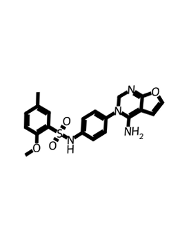 COc1ccc(C)cc1S(=O)(=O)Nc1ccc(N2CN=c3occc3=C2N)cc1